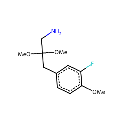 COc1ccc(CC(CN)(OC)OC)cc1F